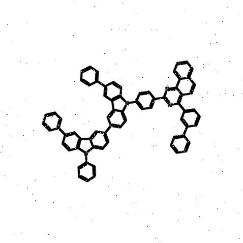 c1ccc(-c2cccc(-c3nc(-c4ccc(-n5c6ccc(-c7ccccc7)cc6c6cc(-c7ccc8c(c7)c7cc(-c9ccccc9)ccc7n8-c7ccccc7)ccc65)cc4)nc4c3ccc3ccccc34)c2)cc1